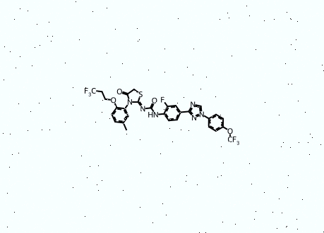 Cc1ccc(OCCC(F)(F)F)c(N2C(=O)CSC2=NC(=O)Nc2ccc(-c3ncn(-c4ccc(OC(F)(F)F)cc4)n3)cc2F)c1